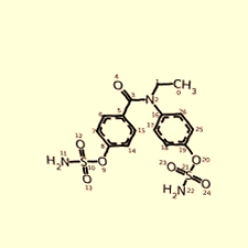 CCN(C(=O)c1ccc(OS(N)(=O)=O)cc1)c1ccc(OS(N)(=O)=O)cc1